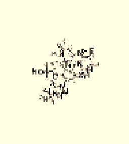 [2H]C([2H])([2H])n1nnn(-c2cc(Nc3ncc(F)c(N[C@@H]4C[C@@H]5CCCN5C(C)(C)C4)n3)c(F)cc2OCC(C)(C)O)c1=O